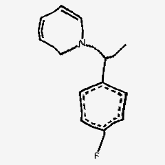 CC(c1ccc(F)cc1)N1C=CC=CC1